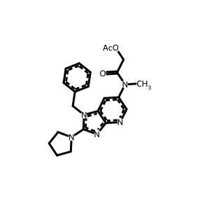 CC(=O)OCC(=O)N(C)c1cnc2nc(N3CCCC3)n(Cc3ccccc3)c2c1